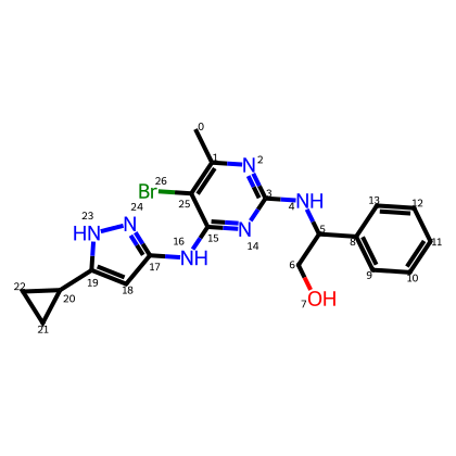 Cc1nc(NC(CO)c2ccccc2)nc(Nc2cc(C3CC3)[nH]n2)c1Br